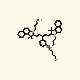 CC1(C)C(/C=C/C(=C/C=C2/N(CCCS(=O)(=O)O)c3ccc4ccccc4c3C2(C)C)c2cccc(OCCCCO)c2)=[N+](CCCS(=O)(=O)O)c2ccc3ccccc3c21